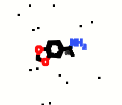 C[C@H](N)c1ccc2c(c1)OCO2